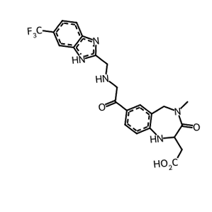 CN1Cc2cc(C(=O)CNCc3nc4ccc(C(F)(F)F)cc4[nH]3)ccc2NC(CC(=O)O)C1=O